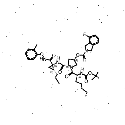 CCCCC[C@H](NC(=O)OC(C)(C)C)C(=O)N1C[C@H](OC(=O)N2Cc3cccc(F)c3C2)C[C@H]1C(=O)N[C@]1(C(=O)NOc2ccccc2C)C[C@H]1CCC